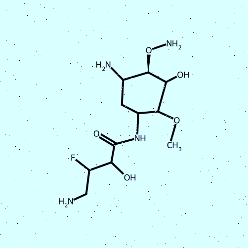 COC1C(NC(=O)C(O)C(F)CN)CC(N)[C@@H](ON)C1O